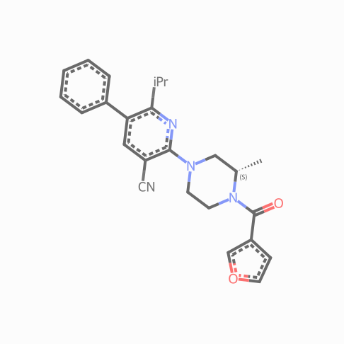 CC(C)c1nc(N2CCN(C(=O)c3ccoc3)[C@@H](C)C2)c(C#N)cc1-c1ccccc1